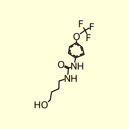 O=C(NCCCCO)Nc1ccc(OC(F)(F)F)cc1